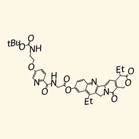 CCc1c2c(nc3ccc(OC(=O)CNC(=O)c4ccc(OCCNC(=O)OC(C)(C)C)cn4)cc13)-c1cc3c(c(=O)n1C2)COC(=O)C3CC